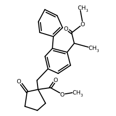 COC(=O)C(C)c1ccc(CC2(C(=O)OC)CCCC2=O)cc1-c1ccccc1